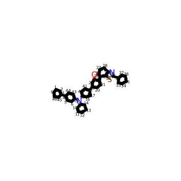 c1ccc(-c2ccc(N(c3ccccc3)c3ccc(-c4ccc5c(c4)oc4ccc6nc(-c7ccccc7)sc6c45)cc3)cc2)cc1